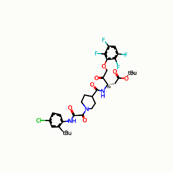 CC(C)(C)OC(=O)C[C@H](NC(=O)C1CCN(C(=O)C(=O)Nc2ccc(Cl)cc2C(C)(C)C)CC1)C(=O)COc1c(F)c(F)cc(F)c1F